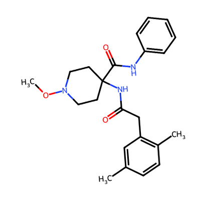 CON1CCC(NC(=O)Cc2cc(C)ccc2C)(C(=O)Nc2ccccc2)CC1